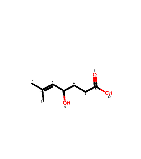 CC(C)=CC(O)CCC(=O)O